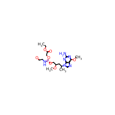 CCOC(=O)COP(NCC=O)OCC(CC(C)n1cnc2c(OC)nc(N)nc21)OC